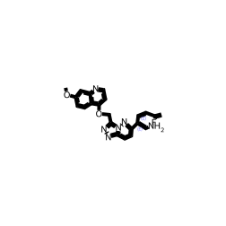 C=C(F)/C=C\C(=C/N)c1ccc2nnc(COc3ccnc4cc(OC)ccc34)n2n1